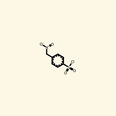 O=[N+]([O-])Cc1ccc(S(=O)(=O)Cl)cc1